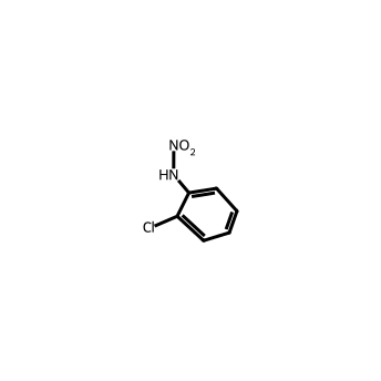 O=[N+]([O-])Nc1ccccc1Cl